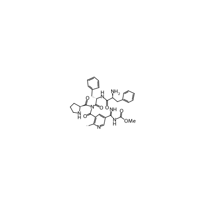 [CH2]c1ncc(C(=N)NC(=O)OC)cc1C(=O)N(C(=O)[C@@H]1CCCN1)C(=O)[C@H](Cc1ccccc1)NC(=O)[C@@H](N)Cc1ccccc1